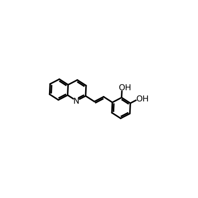 Oc1cccc(/C=C/c2ccc3ccccc3n2)c1O